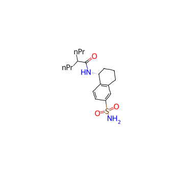 CCCC(CCC)C(=O)N[C@@H]1CCCc2cc(S(N)(=O)=O)ccc21